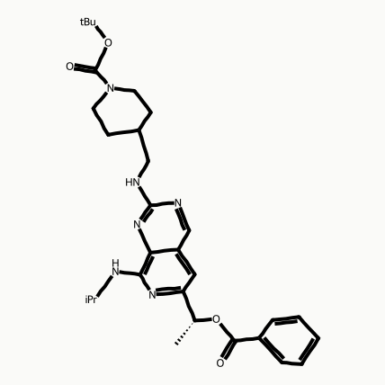 CC(C)Nc1nc([C@@H](C)OC(=O)c2ccccc2)cc2cnc(NCC3CCN(C(=O)OC(C)(C)C)CC3)nc12